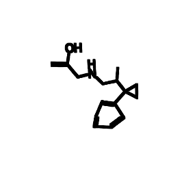 C=C(O)CNCC(C)C1(c2ccccc2)CC1